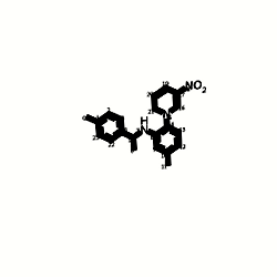 Cc1ccc(C(C)Nc2cc(C)ccc2N2C=C([N+](=O)[O-])C=CC2)cc1